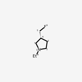 CCN1CC[C@@H](CF)C1